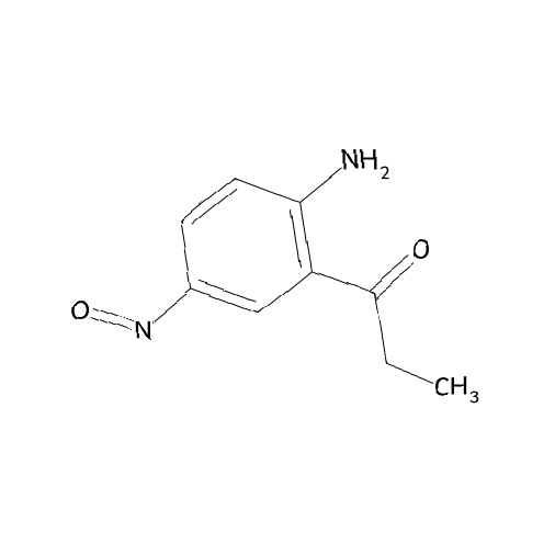 CCC(=O)c1cc(N=O)ccc1N